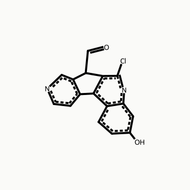 O=CC1c2cnccc2-c2c1c(Cl)nc1cc(O)ccc21